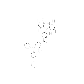 [2H]c1c([2H])c([2H])c(N(c2ccc3c(-c4ccc5c(c4)C(C)(C)c4cc(C6CCCCC6)ccc4N5c4ccccc4)csc3c2)c2c([2H])c([2H])c([2H])c([2H])c2[2H])c([2H])c1[2H]